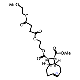 COCCOC(=O)CCC(=O)OCCOC(=O)[C@@H]1[C@@H]2CC/C=C/CC[C@H]2[C@@H]1C(=O)OC